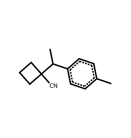 Cc1ccc(C(C)C2(C#N)CCC2)cc1